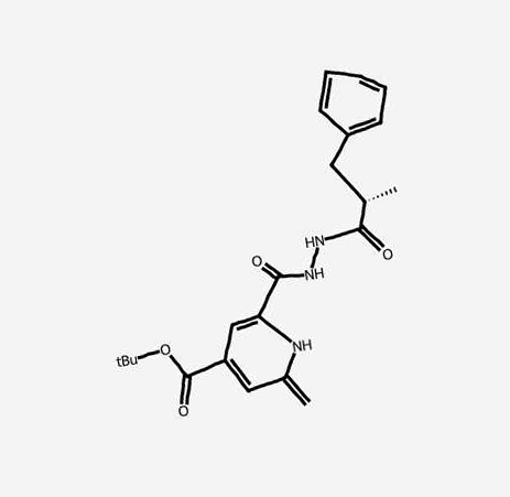 C=C1C=C(C(=O)OC(C)(C)C)C=C(C(=O)NNC(=O)[C@@H](C)Cc2ccccc2)N1